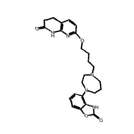 O=C1CCc2ccc(OCCCCN3CCCN(c4cccc5oc(=O)[nH]c45)CC3)nc2N1